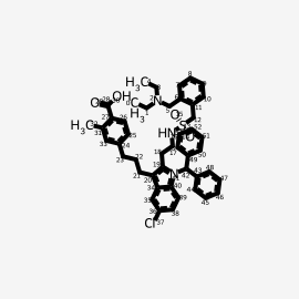 CCN(CC)Cc1ccccc1CS(=O)(=O)NCCc1c(CCCc2ccc(C(=O)O)c(C)c2)c2cc(Cl)ccc2n1C(c1ccccc1)c1ccccc1